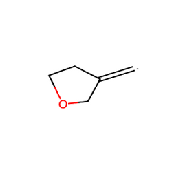 [CH]=C1CCOC1